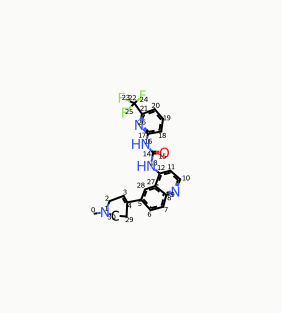 CN1CC=C(c2ccc3nccc(NC(=O)Nc4cccc(C(F)(F)F)n4)c3c2)CC1